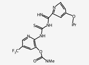 CNC(=O)Oc1cc(C(F)(F)F)cnc1NC(=S)NC(=N)c1cc(OC(C)C)ccn1